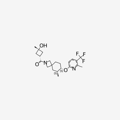 Cc1nc(O[C@H]2CCC3(C[C@@H]2C)CN(C(=O)[C@H]2C[C@@](C)(O)C2)C3)ccc1C(F)(F)F